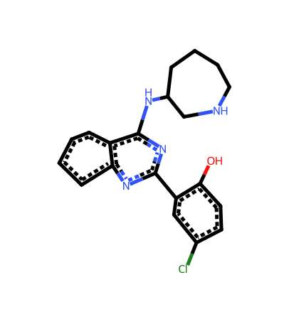 Oc1ccc(Cl)cc1-c1nc(NC2CCCCNC2)c2ccccc2n1